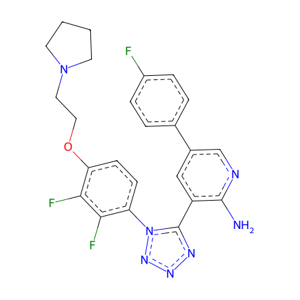 Nc1ncc(-c2ccc(F)cc2)cc1-c1nnnn1-c1ccc(OCCN2CCCC2)c(F)c1F